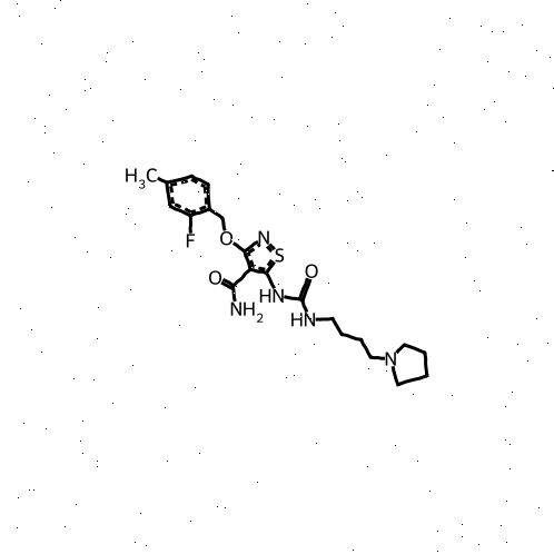 Cc1ccc(COc2nsc(NC(=O)NCCCCN3CCCC3)c2C(N)=O)c(F)c1